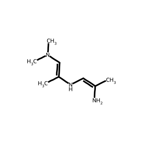 CC(N)=CNC(C)=CN(C)C